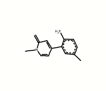 C=C1C=C(c2cc(C)ccc2P)C=CN1C